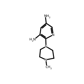 CN1CCN(c2ncc(N)cc2N)CC1